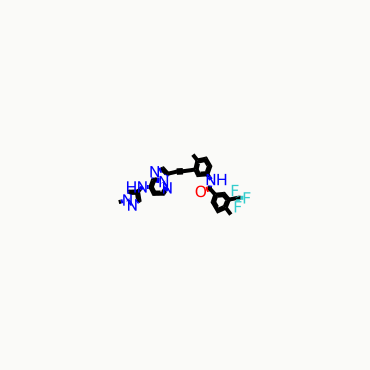 Cc1ccc(NC(=O)c2ccc(C)c(C(F)(F)F)c2)cc1C#Cc1cnc2c(Nc3cnn(C)c3)ccnn12